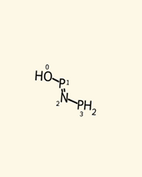 OP=NP